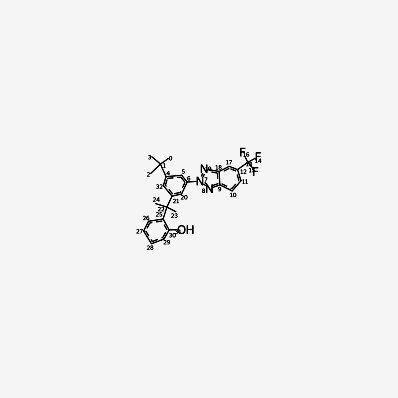 CC(C)(C)c1cc(-n2nc3ccc(C(F)(F)F)cc3n2)cc(C(C)(C)c2ccccc2O)c1